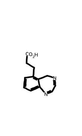 O=C(O)CCc1cccc2c1CN=CC=N2